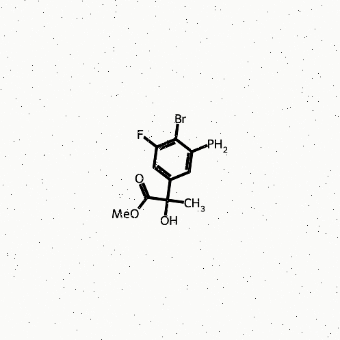 COC(=O)C(C)(O)c1cc(F)c(Br)c(P)c1